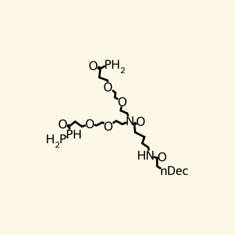 CCCCCCCCCCCC(=O)NCCCCC(=O)N(CCOCCOCCC(=O)P)CCOCCOCCC(=O)PP